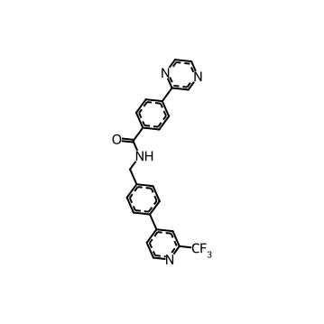 O=C(NCc1ccc(-c2ccnc(C(F)(F)F)c2)cc1)c1ccc(-c2cnccn2)cc1